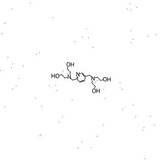 OCCN(CCO)Cc1ccc(CN(CCO)CCO)nc1